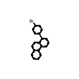 Brc1ccc(-c2cccc3c2ccc2ccccc23)cc1